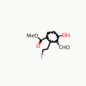 COC(=O)c1ccc(O)c(C=O)c1CCI